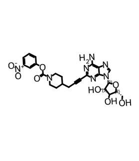 Nc1nc(C#CCC2CCN(C(=O)Oc3cccc([N+](=O)[O-])c3)CC2)nc2c1ncn2[C@@H]1O[C@H](CO)C(O)[C@@H]1O